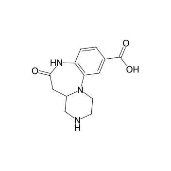 O=C1CC2CNCCN2c2cc(C(=O)O)ccc2N1